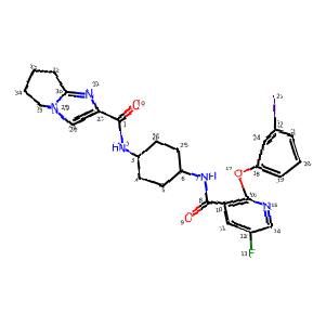 O=C(NC1CCC(NC(=O)c2cc(F)cnc2Oc2cccc(I)c2)CC1)c1cn2c(n1)CCCC2